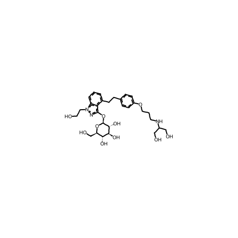 OCCn1nc(O[C@@H]2O[C@H](CO)[C@@H](O)[C@H](O)[C@H]2O)c2c(CCc3ccc(OCCCNC(CO)CO)cc3)cccc21